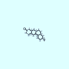 O=C1C=c2cc3ccc4cc(F)ccc4c3cc2=CC1